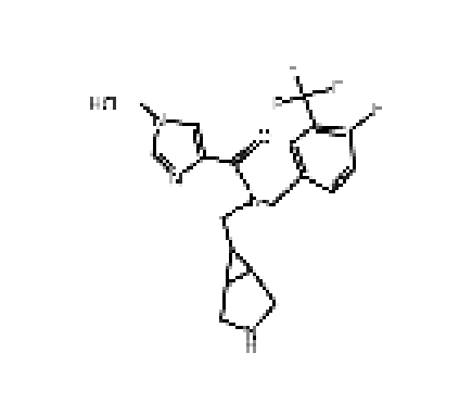 Cl.Cn1cnc(C(=O)N(Cc2ccc(F)c(C(F)(F)F)c2)CC2C3CNCC32)c1